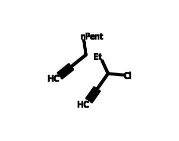 C#CC(Cl)CC.C#CCCCCCC